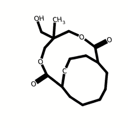 CC1(CO)COC(=O)C2CCCCCC(CCC2)C(=O)OC1